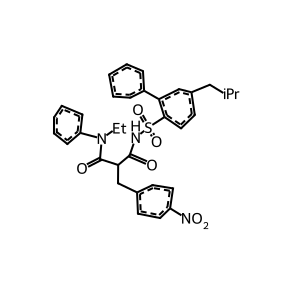 CCN(C(=O)C(Cc1ccc([N+](=O)[O-])cc1)C(=O)NS(=O)(=O)c1ccc(CC(C)C)cc1-c1ccccc1)c1ccccc1